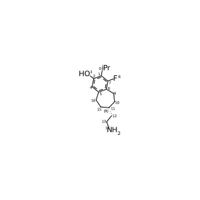 CC(C)c1c(O)cc2c(c1F)CC[C@H](CCN)CC2